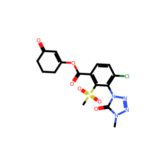 Cn1nnn(-c2c(Cl)ccc(C(=O)OC3=CC(=O)CCC3)c2S(C)(=O)=O)c1=O